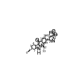 C#Cc1ccc2c(c1)[nH]c1c2c(=O)c2cc(CC)c(-c3cncc(S(=O)(=O)F)c3)cc2n1CC